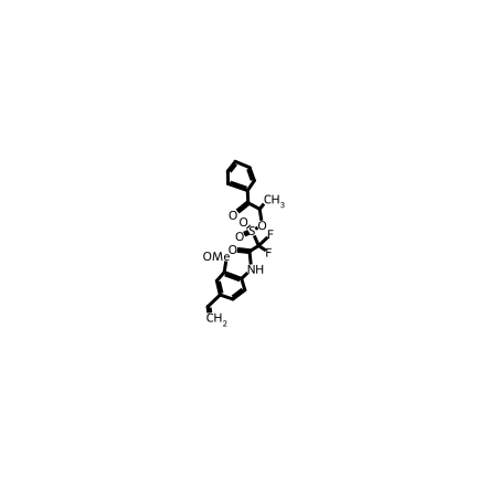 C=Cc1ccc(NC(=O)C(F)(F)S(=O)(=O)OC(C)C(=O)c2ccccc2)c(OC)c1